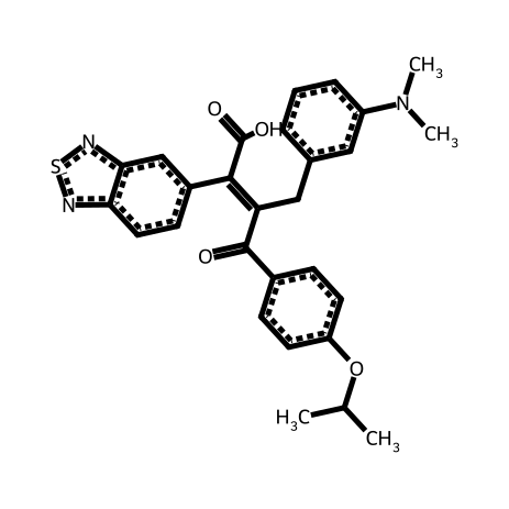 CC(C)Oc1ccc(C(=O)/C(Cc2cccc(N(C)C)c2)=C(/C(=O)O)c2ccc3nsnc3c2)cc1